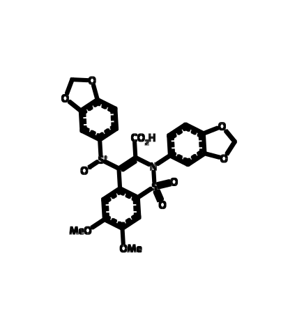 COc1cc2c(cc1OC)S(=O)(=O)N(c1ccc3c(c1)OCO3)C(C(=O)O)=C2[S+]([O-])c1ccc2c(c1)OCO2